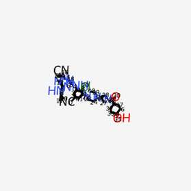 N#Cc1cc(Nc2nc(NC3CC3)c3ncc(C#N)n3n2)c(Cl)c(N2CCN(C3CN(C(=O)C4CCC(O)CC4)C3)CC2)c1